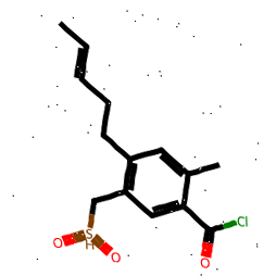 CC=CCCc1cc(C)c(C(=O)Cl)cc1C[SH](=O)=O